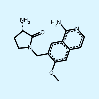 COc1cc2ccnc(N)c2cc1CN1CC[C@H](N)C1=O